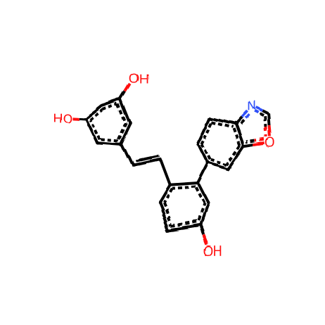 Oc1cc(O)cc(C=Cc2ccc(O)cc2-c2ccc3ncoc3c2)c1